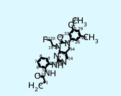 C=CC(=O)Nc1ccccc1Nc1ncc2c(n1)N(CCF)C(=O)N(c1cc(C)cc(OC)c1)C2